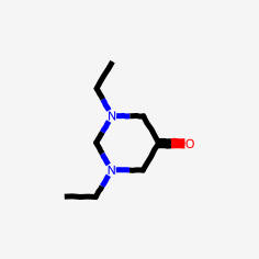 CCN1CC(=O)CN(CC)C1